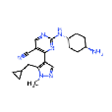 Cn1ncc(-c2nc(N[C@H]3CC[C@H](N)CC3)ncc2C#N)c1CC1CC1